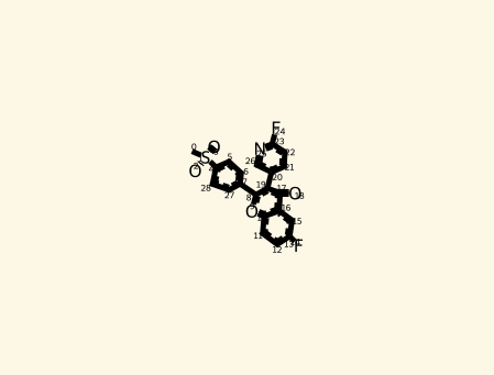 CS(=O)(=O)c1ccc(-c2oc3ccc(F)cc3c(=O)c2-c2ccc(F)nc2)cc1